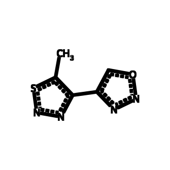 Cc1snnc1-c1conn1